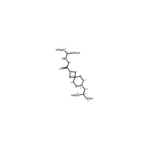 CCCCCCCC(CCCCC)NCC(=O)N1CC2(CCN(CC(CCCCCC)CCCCCC)CC2)C1